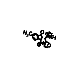 CCCC(=N)CC1COCCN1C(=O)C1CC(=O)c2cc(C)ccc21